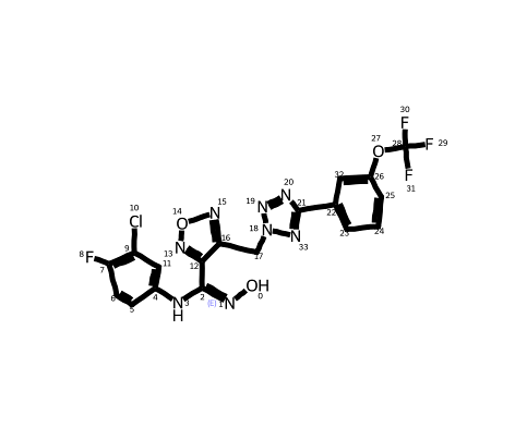 O/N=C(/Nc1ccc(F)c(Cl)c1)c1nonc1Cn1nnc(-c2cccc(OC(F)(F)F)c2)n1